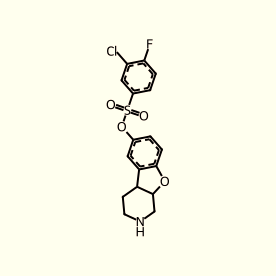 O=S(=O)(Oc1ccc2c(c1)C1CCNCC1O2)c1ccc(F)c(Cl)c1